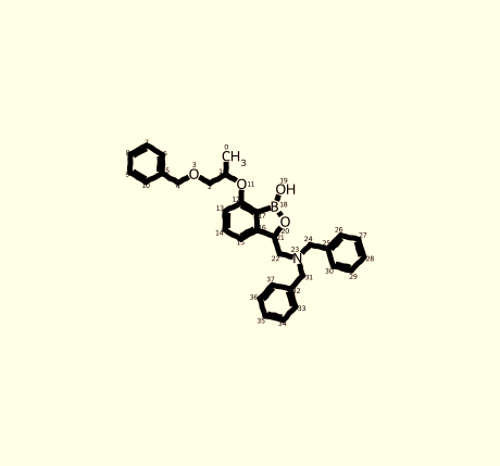 CC(COCc1ccccc1)Oc1cccc2c1B(O)OC2CN(Cc1ccccc1)Cc1ccccc1